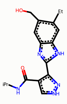 CCc1cc2[nH]c(-c3n[nH]cc3C(=O)NC(C)C)nc2cc1CO